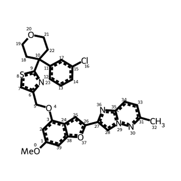 COc1cc(OCc2csc(C3(c4cccc(Cl)c4)CCOCC3)n2)c2cc(-c3cn4nc(C)ccc4n3)oc2c1